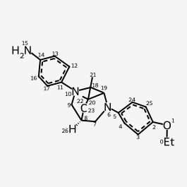 CCOc1ccc(N2C[C@H]3CN(c4ccc(N)cc4)CC2C(C)(C)C3)cc1